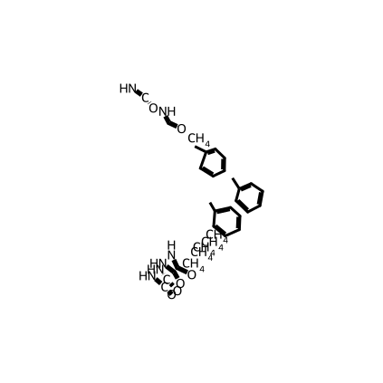 C.C.C.C.C.C.Cc1ccccc1.Cc1ccccc1.Cc1ccccc1.N=C=O.N=C=O.N=C=O.N=C=O.N=C=O.N=C=O